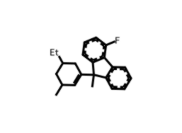 CCC1CC(C2(C)c3ccccc3-c3c(F)cccc32)=CC(C)C1